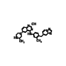 Cc1cc(Nc2ncnc3ccc(N4CCNC(C)C4)cc23)ccc1Cc1ccn2ncnc2c1.Cl